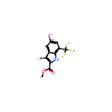 COC(=O)c1[nH]c2c(C(F)(F)F)cc(I)cc2c1Cl